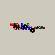 COCCOc1cccc(CNc2nc3nc(O[C@@H]4CO[C@H]5[C@@H]4OC[C@H]5O)[nH]c3cc2Cl)c1